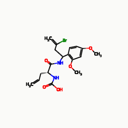 C=CC[C@@H](NC(=O)O)C(=O)NC(CC(=C)Br)c1ccc(OC)cc1OC